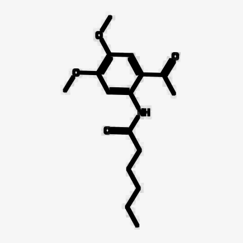 CCCCCC(=O)Nc1cc(OC)c(OC)cc1C(C)=O